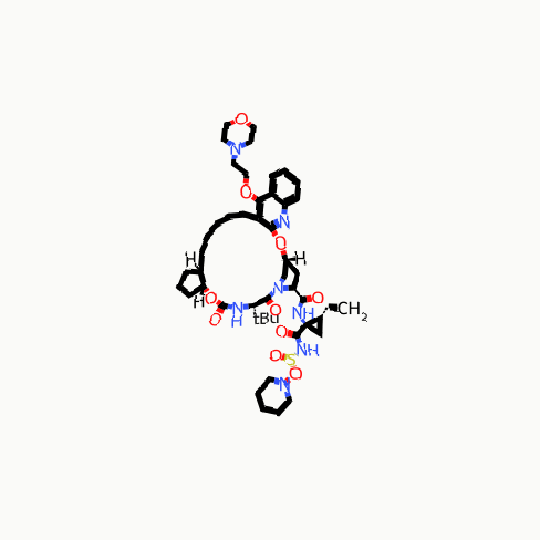 C=C[C@@H]1C[C@]1(NC(=O)[C@@H]1C[C@@H]2CN1C(=O)[C@H](C(C)(C)C)NC(=O)O[C@@H]1CCC[C@H]1CCCCCc1c(nc3ccccc3c1OCCN1CCOCC1)O2)C(=O)NS(=O)ON1CCCCC1